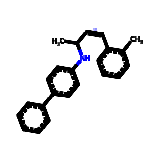 Cc1ccccc1/C=C\C(C)Nc1ccc(-c2ccccc2)cc1